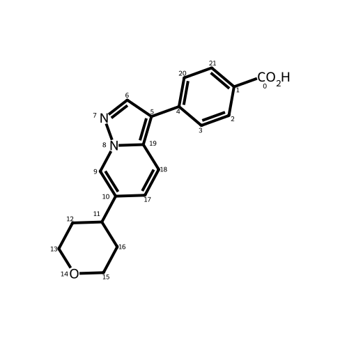 O=C(O)c1ccc(-c2cnn3cc(C4CCOCC4)ccc23)cc1